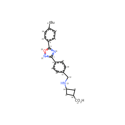 CC(C)(C)c1ccc(-c2nc(-c3ccc(CNC4CC(C(=O)O)C4)cc3)no2)cc1